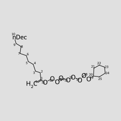 C=C(CCCCCCCCCCCCCCCCCC)OOOOOOOOOC1CCCCC1